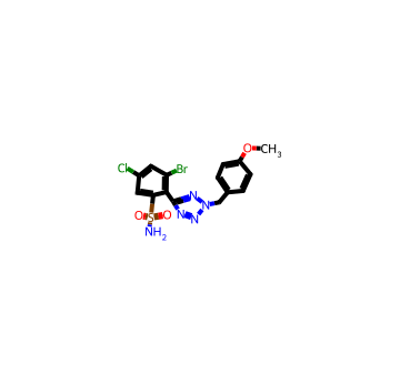 COc1ccc(Cn2nnc(-c3c(Br)cc(Cl)cc3S(N)(=O)=O)n2)cc1